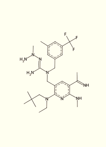 CCN(CC(C)(C)C)c1nc(NC)c(C(C)=N)cc1CN(Cc1cc(C)cc(C(F)(F)F)c1)/C(N)=N/N(C)N